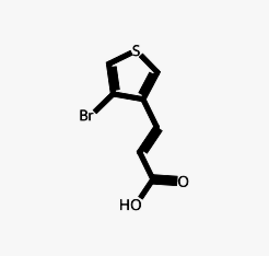 O=C(O)/C=C/c1cscc1Br